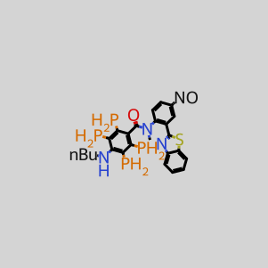 CCCCNc1c(P)c(P)c(C(=O)N(C)c2ccc(N=O)cc2-c2nc3ccccc3s2)c(P)c1P